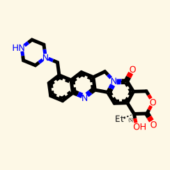 CC[C@@]1(O)C(=O)OCc2c1cc1n(c2=O)Cc2cc3c(CN4CCNCC4)cccc3nc2-1